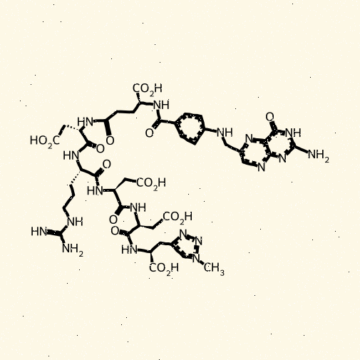 Cn1cc(C[C@H](NC(=O)[C@H](CC(=O)O)NC(=O)[C@H](CC(=O)O)NC(=O)[C@H](CCCNC(=N)N)NC(=O)[C@H](CC(=O)O)NC(=O)CC[C@H](NC(=O)c2ccc(NCc3cnc4nc(N)[nH]c(=O)c4n3)cc2)C(=O)O)C(=O)O)nn1